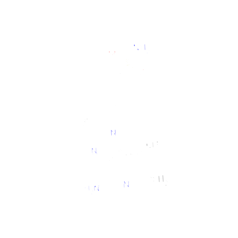 Cc1nc(N)c2nc(C)n(CCCCS(N)(=O)=O)c2c1C